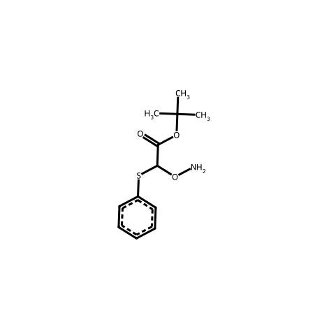 CC(C)(C)OC(=O)C(ON)Sc1ccccc1